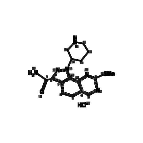 CSc1ncc2ccc3c(C(N)=O)nn(C4CCCNC4)c3c2n1.Cl